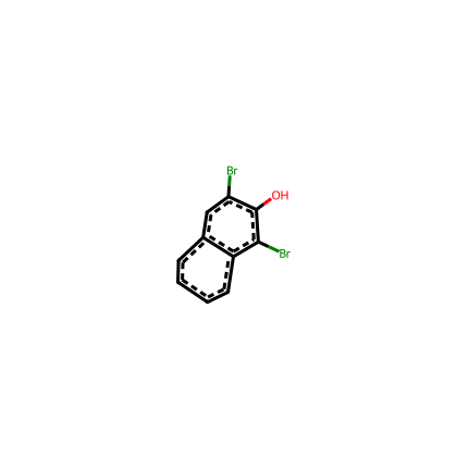 Oc1c(Br)cc2ccccc2c1Br